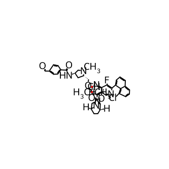 CN1C[C@H](NC(=O)c2ccc(C=O)cc2)C[C@H]1COc1nc(N2C[C@H]3CC[C@@H](C2)N3C(=O)OC(C)(C)C)c2cnc(-c3cccc4cccc(Cl)c34)c(F)c2n1